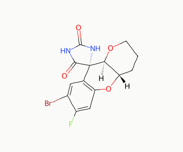 O=C1NC(=O)[C@]2(N1)c1cc(Br)c(F)cc1O[C@H]1CCCO[C@@H]12